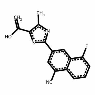 C=C(O)c1sc(-c2cc(C#N)c3cccc(F)c3c2)nc1C